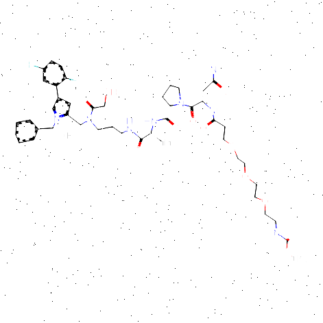 CC(C)[C@H](NC(=O)[C@@H]1CCCN1C(=O)[C@H](CC(N)=O)NC(=O)CCOCCOCCOCCNC(=O)OC(C)(C)C)C(=O)NCCCN(C(=O)CO)[C@@H](c1cc(-c2cc(F)ccc2F)cn1Cc1ccccc1)C(C)(C)C